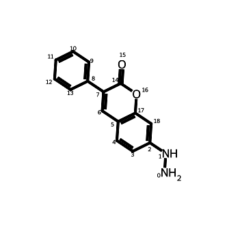 NNc1ccc2cc(-c3ccccc3)c(=O)oc2c1